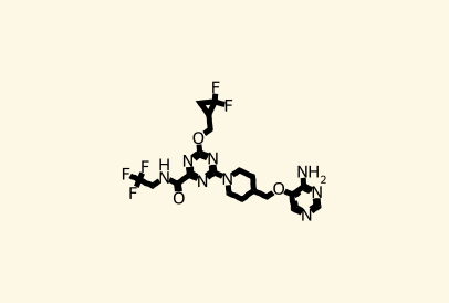 Nc1ncncc1OCC1CCN(c2nc(OCC3CC3(F)F)nc(C(=O)NCC(F)(F)F)n2)CC1